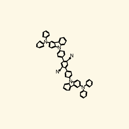 N#Cc1cc(-c2ccc(-n3c4ccccc4c4cc(N(c5ccccc5)c5ccccc5)ccc43)cc2)c(C#N)cc1-c1ccc(-n2c3ccccc3c3cc(N(c4ccccc4)c4ccccc4)ccc32)cc1